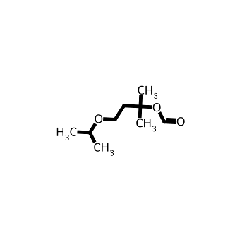 CC(C)OCCC(C)(C)OC=O